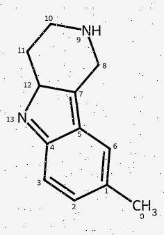 Cc1ccc2c(c1)=C1CNCCC1N=2